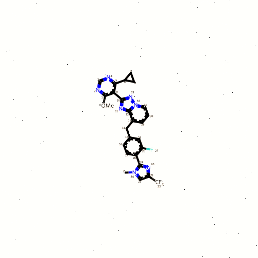 COc1ncnc(C2CC2)c1-c1nc2c(Cc3ccc(-c4nc(C(F)(F)F)cn4C)c(F)c3)cccn2n1